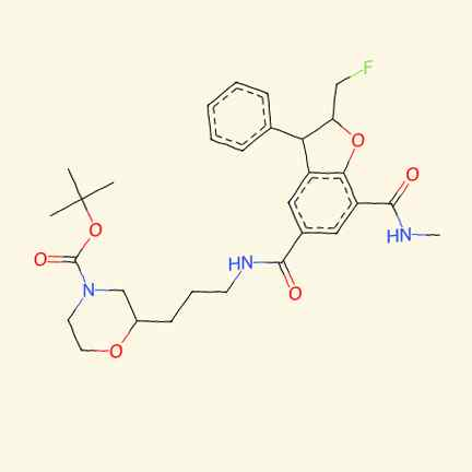 CNC(=O)c1cc(C(=O)NCCCC2CN(C(=O)OC(C)(C)C)CCO2)cc2c1OC(CF)C2c1ccccc1